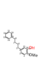 COc1ccc(CCCCc2ccccc2)cc1O